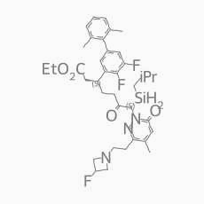 CCOC(=O)C[C@H](CCC(=O)[C@H]([SiH2]CC(C)C)n1nc(CCN2CC(F)C2)c(C)cc1=O)c1cc(-c2c(C)cccc2C)cc(F)c1F